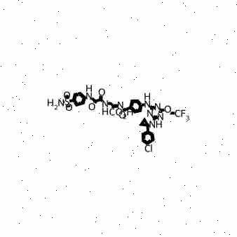 NS(=O)(=O)c1ccc(NC(=O)C(=O)NC/C(=N/C(=O)c2ccc(Nc3nc(NC4(c5ccc(Cl)cc5)CC4)nc(OCC(F)(F)F)n3)cc2)C(=O)O)cc1